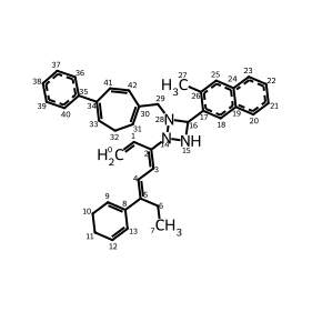 C=C/C(=C\C=C(/CC)C1=CCCC=C1)N1NC(c2cc3ccccc3cc2C)N1CC1=CCC=C(c2ccccc2)C=C1